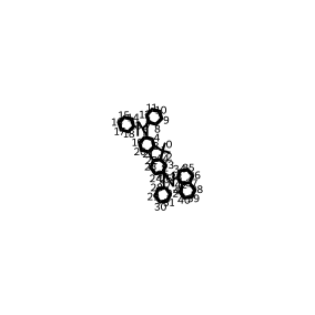 CC1(C)c2cc(N(c3ccccc3)c3ccccc3)ccc2-c2ccc(N(c3ccccc3)c3cccc4ccccc34)cc21